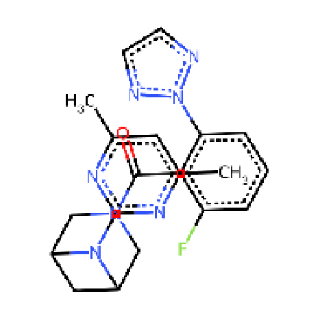 Cc1cc(C)nc(N2C3CC2CN(C(=O)c2c(F)cccc2-n2nccn2)C3)n1